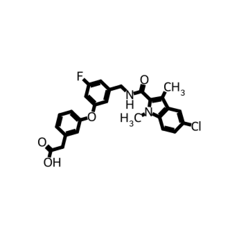 Cc1c(C(=O)NCc2cc(F)cc(Oc3cccc(CC(=O)O)c3)c2)n(C)c2ccc(Cl)cc12